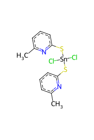 Cc1cccc([S][Sn]([Cl])([Cl])[S]c2cccc(C)n2)n1